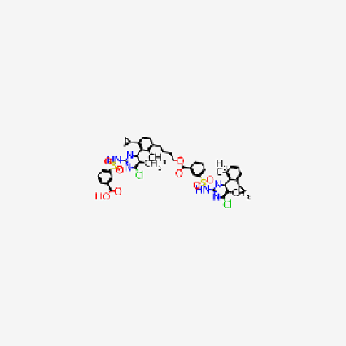 Cc1cccc(C2CC2)c1-c1nc(NS(=O)(=O)c2cccc(C(=O)OCCCCc3ccc(C4CC4)c(-c4nc(NS(=O)(=O)c5cccc(C(=O)O)c5)nc(Cl)c4C)c3C)c2)nc(Cl)c1C